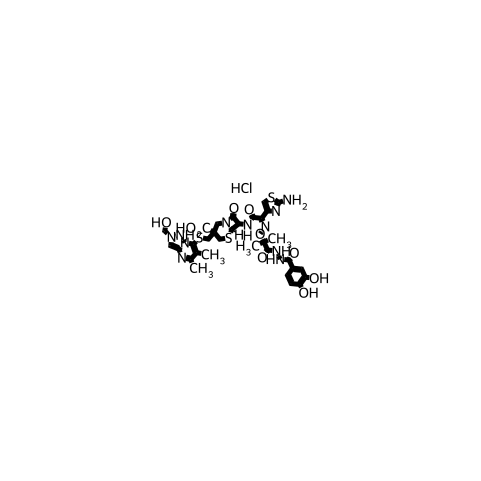 CC1=NC2=CN(CO)NN2C(SCC2(C(=O)O)CS[C@@H]3C(NC(=O)C(=NOC(C)(C)C(=O)NNC(=O)c4ccc(O)c(O)c4)c4csc(N)n4)C(=O)N3C2)=C1C.Cl